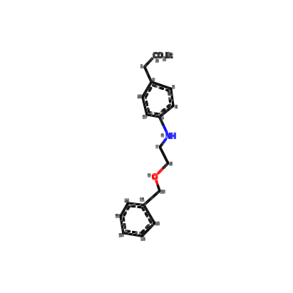 CCOC(=O)Cc1ccc(NCCOCc2ccccc2)cc1